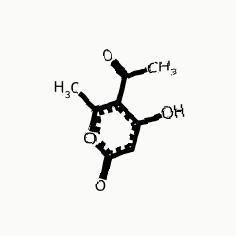 CC(=O)c1c(O)cc(=O)oc1C